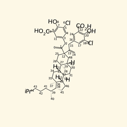 C=C(Cc1cc(Cl)c(O)c(C(=O)O)c1)C1(C(=C)Cc2cc(Cl)c(O)c(C(=O)O)c2)CC[C@@]2(C)[C@@H](CC[C@@H]3[C@@H]2CC[C@]2(C)[C@@H]([C@H](C)CCCC(C)C)CC[C@@H]32)C1